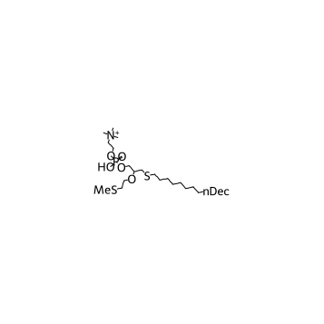 CCCCCCCCCCCCCCCCCCSCC(COP(=O)(O)OCC[N+](C)(C)C)OCCSC